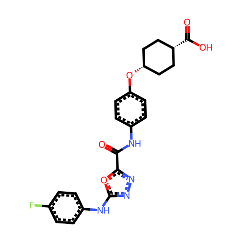 O=C(Nc1ccc(O[C@H]2CC[C@@H](C(=O)O)CC2)cc1)c1nnc(Nc2ccc(F)cc2)o1